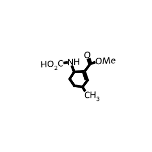 COC(=O)C1=CC(C)CCC1NC(=O)O